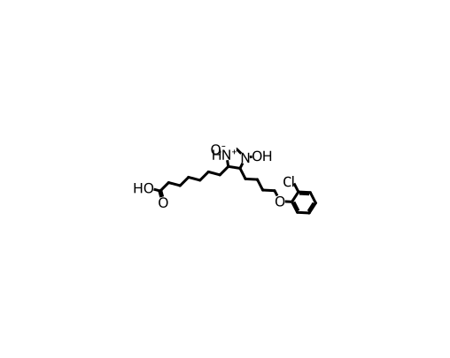 O=C(O)CCCCCCC1C(CCCCOc2ccccc2Cl)N(O)C[NH+]1[O-]